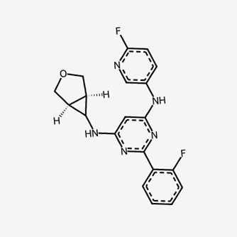 Fc1ccc(Nc2cc(NC3[C@H]4COC[C@@H]34)nc(-c3ccccc3F)n2)cn1